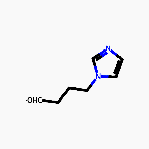 O=[C]CCCn1ccnc1